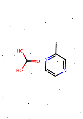 Cc1cnccn1.O=C(O)O